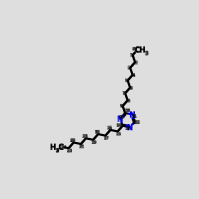 CCCCCCCCCCc1n[c]nc(CCCCCCCCCC)n1